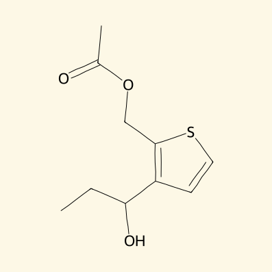 CCC(O)c1ccsc1COC(C)=O